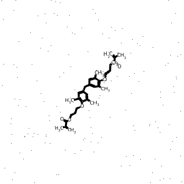 C=C(C)C(=O)OCCCOc1c(C)cc(Cc2cc(C)c(OCC[CH2][Co](=[O])[C](=C)C)c(C)c2)cc1C